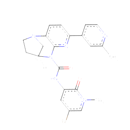 Cc1cc(-c2ccc3c(n2)N(C(=O)Nc2cc(Br)cn(C)c2=O)[C@H]2CCN3C2)ccn1